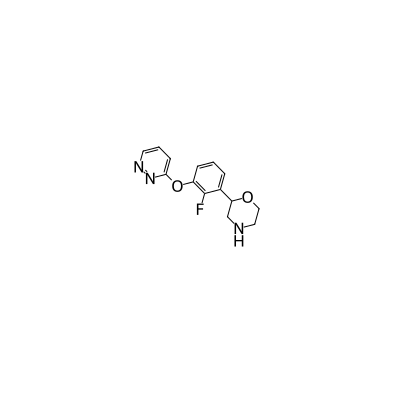 Fc1c(Oc2cccnn2)cccc1C1CNCCO1